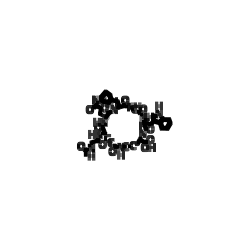 CC(=O)NCC(=O)NC1CCC(=O)NCCCC(C(=O)O)NC(=O)[C@@](C)(Cc2c[nH]c3ccccc23)NC(=O)CNC(=O)C(Cc2ccccc2)NC(=O)[C@H](CCC(N)=O)NC1=O